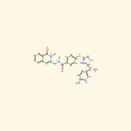 CN(Cc1cc2ccccc2c(=O)n1C)C(=O)c1ccc(C[C@@H]2CC[C@H]([C@H](O)c3ccc(Cl)nc3)N2)cc1